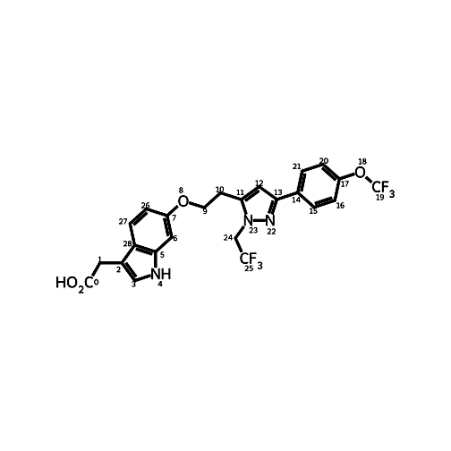 O=C(O)Cc1c[nH]c2cc(OCCc3cc(-c4ccc(OC(F)(F)F)cc4)nn3CC(F)(F)F)ccc12